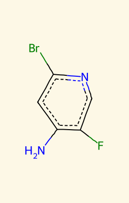 Nc1cc(Br)ncc1F